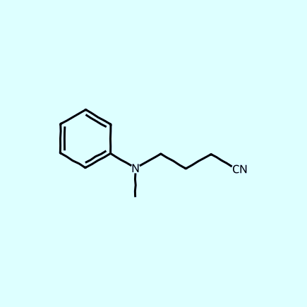 CN(CCCC#N)c1ccccc1